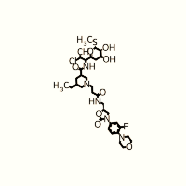 CCC1CC(C(=O)NC(C(C)Cl)C2CC(O)[C@H](O)[C@@H](SC)O2)CN(CCC(=O)NC[C@H]2CN(c3ccc(N4CCOCC4)c(F)c3)C(=O)O2)C1